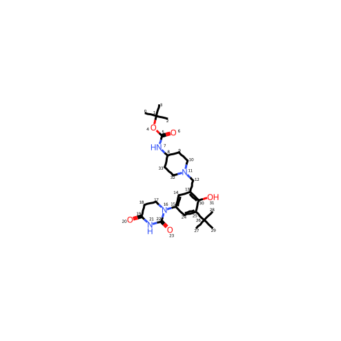 CC(C)(C)OC(=O)NC1CCN(Cc2cc(N3CCC(=O)NC3=O)cc(C(C)(C)C)c2O)CC1